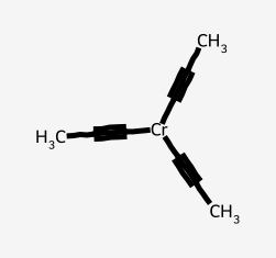 CC#[C][Cr]([C]#CC)[C]#CC